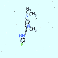 CCN(CC)CC1=CC=C2C(C=C(C#CCNc3ccc(F)cc3)N2CC)C1